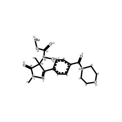 CN1N=C(c2ccc(C(=O)N3CCOCC3)cc2)C(C)(N(O)C(=O)OC(C)(C)C)C1=O